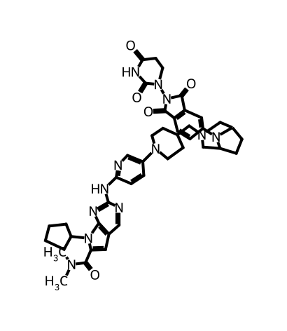 CN(C)C(=O)c1cc2cnc(Nc3ccc(N4CCC(CN5CC6CCC(C5)N6c5ccc6c(c5)C(=O)N(N5CCC(=O)NC5=O)C6=O)CC4)cn3)nc2n1C1CCCC1